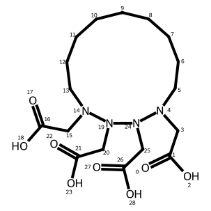 O=C(O)CN1CCCCCCCCCN(CC(=O)O)N(CC(=O)O)N1CC(=O)O